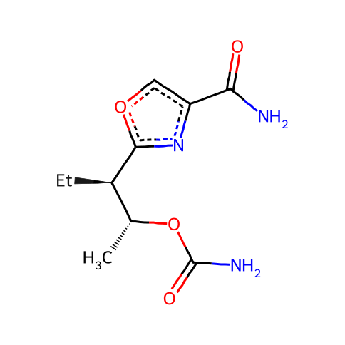 CC[C@@H](c1nc(C(N)=O)co1)[C@@H](C)OC(N)=O